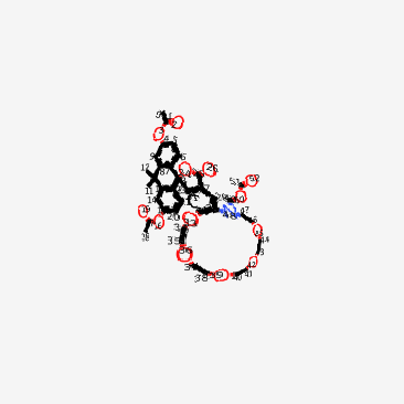 CC(=O)Oc1ccc2c(c1)C(C)(C)c1cc(OC(C)=O)ccc1C21OC(=O)c2cc3c(cc21)OCCOCCOCCOCCOCCN3COC=O